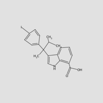 CC(C)C(C)(c1ccc(I)cc1)c1c[nH]c2c(C(=O)O)cccc12